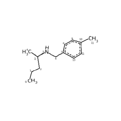 CCCC(C)NCc1ccc(C)cc1